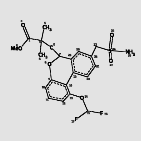 COC(=O)C(C)(C)CC1Oc2cccc(OC(F)F)c2-c2ccc(CS(N)(=O)=O)cc21